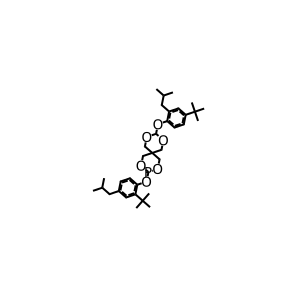 CC(C)Cc1ccc(OP2OCC3(COC(Oc4ccc(C(C)(C)C)cc4CC(C)C)OC3)CO2)c(C(C)(C)C)c1